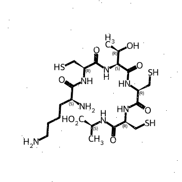 C[C@H](NC(=O)[C@H](CS)NC(=O)[C@H](CS)NC(=O)[C@@H](NC(=O)[C@H](CS)NC(=O)[C@@H](N)CCCCN)[C@@H](C)O)C(=O)O